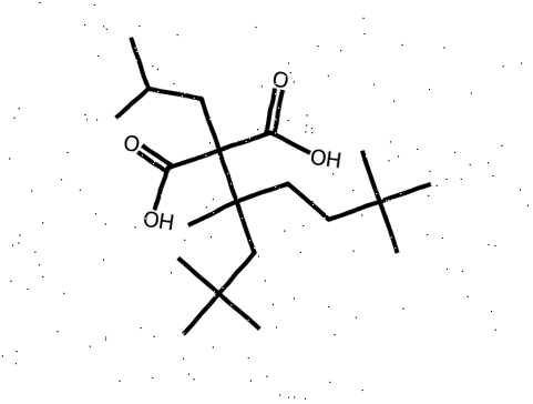 CC(C)CC(C(=O)O)(C(=O)O)C(C)(CCC(C)(C)C)CC(C)(C)C